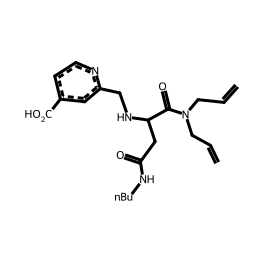 C=CCN(CC=C)C(=O)C(CC(=O)NCCCC)NCc1cc(C(=O)O)ccn1